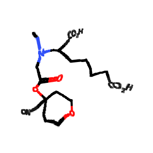 CN(CC(=O)OC1(N=O)CCOCC1)C(CCCCC(=O)O)C(=O)O